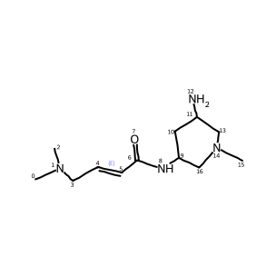 CN(C)C/C=C/C(=O)NC1CC(N)CN(C)C1